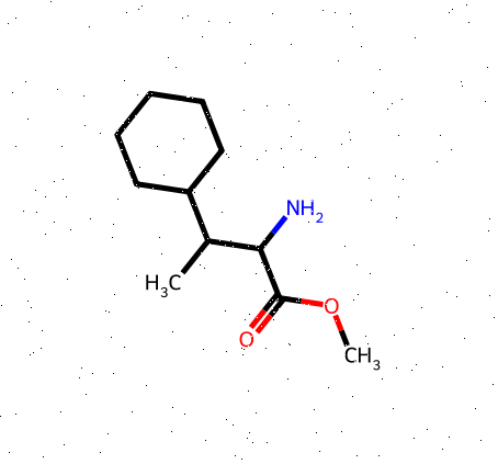 COC(=O)C(N)C(C)C1CCCCC1